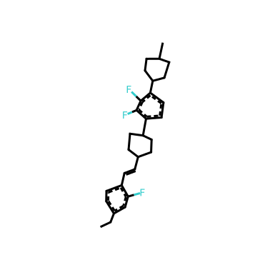 CCc1ccc(/C=C/C2CCC(c3ccc(C4CCC(C)CC4)c(F)c3F)CC2)c(F)c1